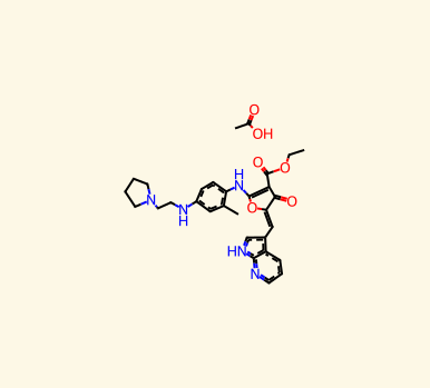 CC(=O)O.CCOC(=O)C1=C(Nc2ccc(NCCN3CCCC3)cc2C)OC(=Cc2c[nH]c3ncccc23)C1=O